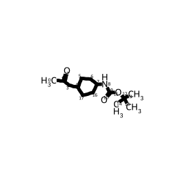 CC(=O)CC1CCC(NC(=O)OC(C)(C)C)CC1